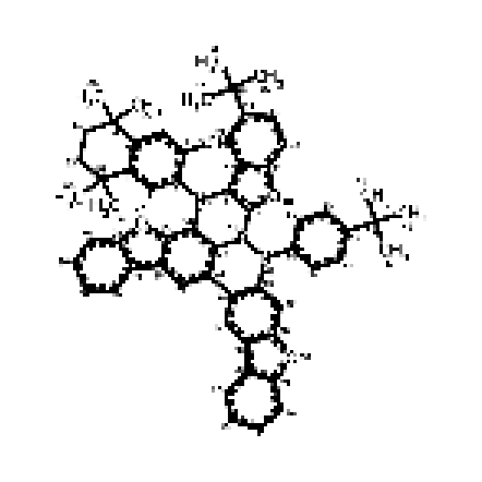 Cc1cc2c(cc1N1c3c(oc4ccc(C(C)(C)C)cc34)B3c4c(cc5c(oc6ccccc65)c41)-c1cc4c(cc1N3c1ccc(C(C)(C)C)cc1)oc1ccccc14)C(C)(C)CCC2(C)C